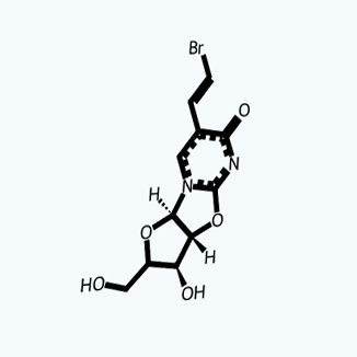 O=c1nc2n(cc1C=CBr)[C@@H]1OC(CO)[C@H](O)[C@H]1O2